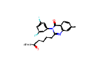 CCCCCC(=O)CCCCc1nc2cc(C)ccc2c(=O)n1-c1cc(F)cc(F)c1